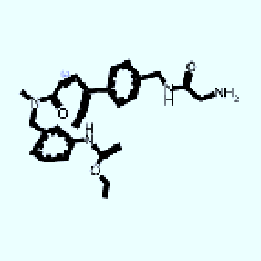 C=C=C(/C=C\C(=O)N(C)Cc1cccc(NC(=C)OCC)c1)c1ccc(CNC(=O)CN)cc1